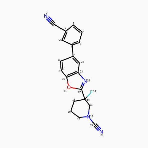 N#Cc1cccc(-c2ccc3oc(C4(F)CCCN(C#N)C4)nc3c2)c1